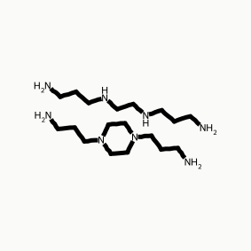 NCCCN1CCN(CCCN)CC1.NCCCNCCNCCCN